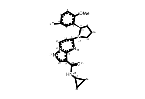 COc1ccc(F)cc1[C@H]1CCCN1c1ccn2ncc(C(=O)NC3CC3)c2n1